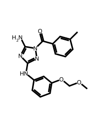 COCOc1cccc(Nc2nc(N)n(C(=O)c3cccc(C)c3)n2)c1